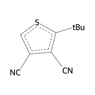 CC(C)(C)c1scc(C#N)c1C#N